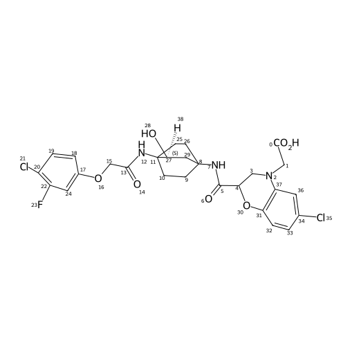 O=C(O)CN1CC(C(=O)NC23CCC(NC(=O)COc4ccc(Cl)c(F)c4)(CC2)[C@@H](O)C3)Oc2ccc(Cl)cc21